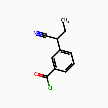 CCC(C#N)c1cccc(C(=O)Cl)c1